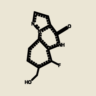 O=c1[nH]c2c(F)c(CO)ccc2n2nccc12